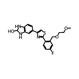 COCCOCc1cc(F)ccc1-c1nc(-c2ccc3c(c2)NC(O)N3)cs1